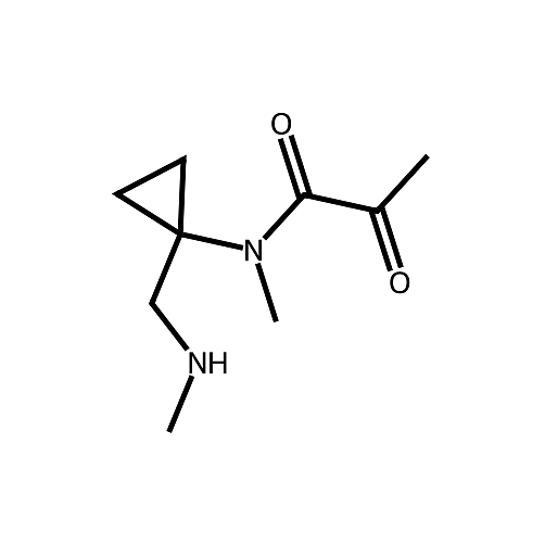 CNCC1(N(C)C(=O)C(C)=O)CC1